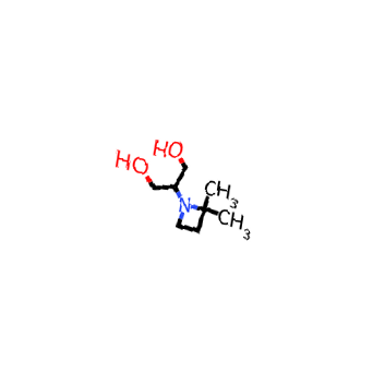 CC1(C)CCN1C(CO)CO